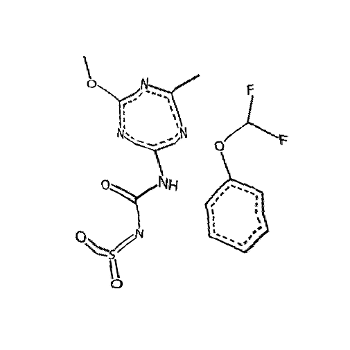 COc1nc(C)nc(NC(=O)N=S(=O)=O)n1.FC(F)Oc1ccccc1